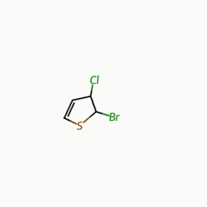 ClC1C=CSC1Br